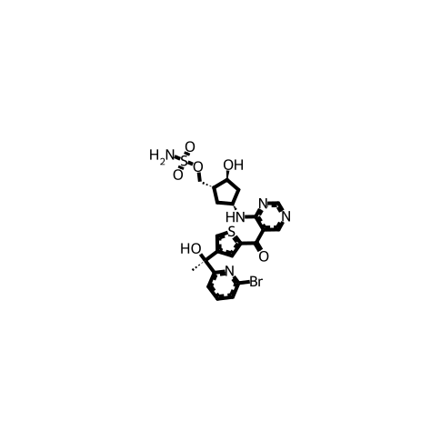 C[C@](O)(c1csc(C(=O)c2cncnc2N[C@@H]2C[C@H](COS(N)(=O)=O)[C@@H](O)C2)c1)c1cccc(Br)n1